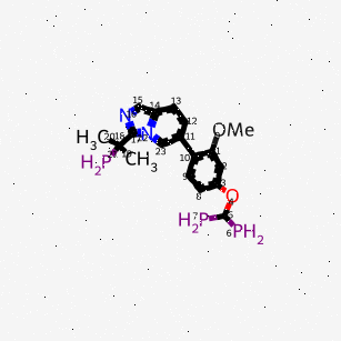 COc1cc(OC(P)P)ccc1-c1ccc2cnc(C(C)(C)P)n2c1